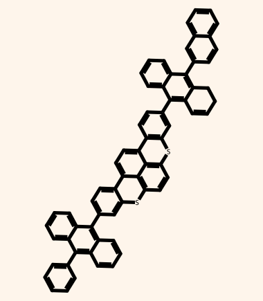 C1=Cc2c(c(-c3ccc4ccccc4c3)c3ccccc3c2-c2ccc3c(c2)Sc2ccc4c5c(ccc-3c25)-c2ccc(-c3c5ccccc5c(-c5ccccc5)c5ccccc35)cc2S4)CC1